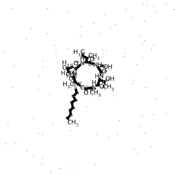 CCCCCCCCCC[C@H]1OC(=O)[C@H](C)NC(=O)[C@H]([C@H](C)O)NC(=O)[C@H](CO)NC(=O)[C@H]([C@@H](C)CC)NC(=O)[C@H](CC(C)C)N(C)C(=O)[C@@H]1C